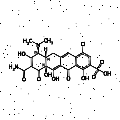 CN(C)[C@@H]1C(O)=C(C(N)=O)C(=O)[C@@]2(O)C(O)=C3C(=O)c4c(O)c(S(=O)(=O)O)cc(Cl)c4C=C3C[C@@H]12